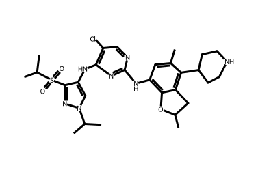 Cc1cc(Nc2ncc(Cl)c(Nc3cn(C(C)C)nc3S(=O)(=O)C(C)C)n2)c2c(c1C1CCNCC1)CC(C)O2